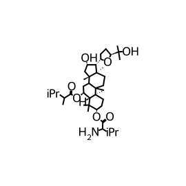 CC(C)C(C)C(=O)O[C@H]1CC2C3(CC[C@]4(C)[C@@H](C5CC[C@@H](C(C)(C)O)O5)[C@@H](O)C[C@@]24C)C[C@@]32CC[C@H](OC(=O)C(N)C(C)C)C(C)(C)[C@H]12